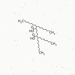 CCCCCCCCC(CCCCCCCC)C(CCCC(C(=O)O)C(CCCCCCCC)CCCCCCCC)C(=O)O